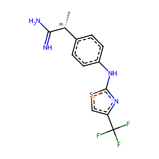 C[C@@H](C(=N)N)c1ccc(Nc2nc(C(F)(F)F)cs2)cc1